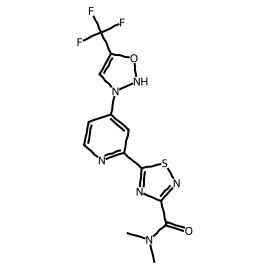 CN(C)C(=O)c1nsc(-c2cc(N3C=C(C(F)(F)F)ON3)ccn2)n1